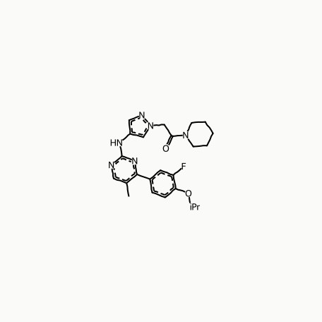 Cc1cnc(Nc2cnn(CC(=O)N3CCCCC3)c2)nc1-c1ccc(OC(C)C)c(F)c1